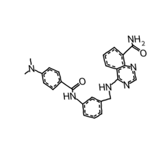 CN(C)c1ccc(C(=O)Nc2cccc(CNc3ncnc4c(C(N)=O)cccc34)c2)cc1